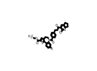 CCOC(=O)c1cc2c(s1)-c1ccc(F)cc1N(C(=O)c1ccc(CCC(=O)c3cc4c(nc3Cl)CCC4)cc1)CC2